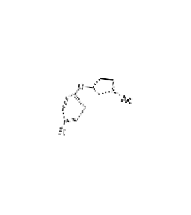 CCc1ccc(OC2CCN(C(C)=O)C2)cc1